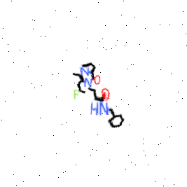 C/C(F)=C\c1c(C)n2cccc2c(=O)n1CCCC(=O)NCC1CCCCC1